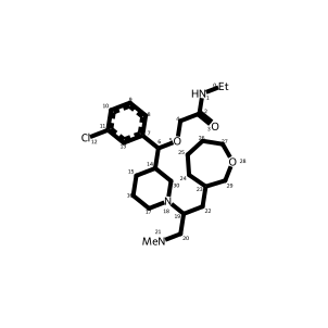 CCNC(=O)COC(c1cccc(Cl)c1)C1CCCN(C(CNC)CC2CCCCOC2)C1